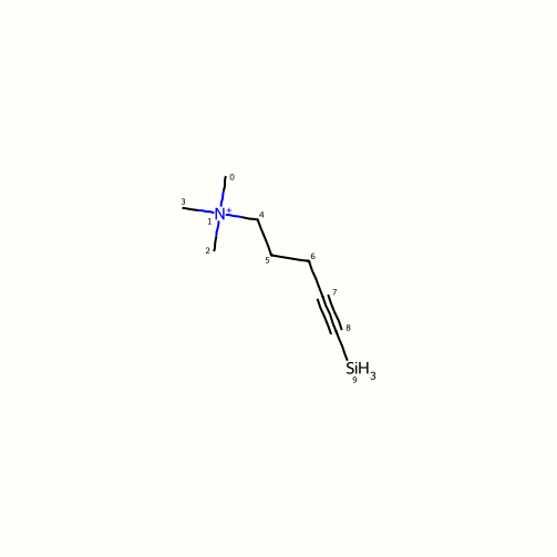 C[N+](C)(C)CCCC#C[SiH3]